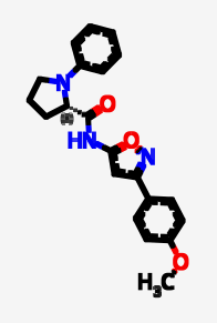 COc1ccc(-c2cc(NC(=O)[C@@H]3CCCN3c3ccccc3)on2)cc1